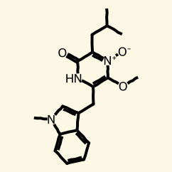 COc1c(Cc2cn(C)c3ccccc23)[nH]c(=O)c(CC(C)C)[n+]1[O-]